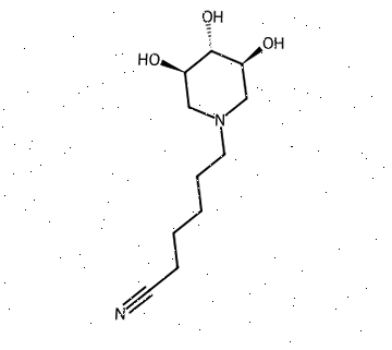 N#CCCCCCN1C[C@@H](O)[C@H](O)[C@@H](O)C1